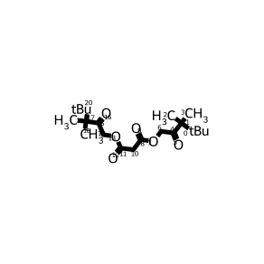 CC(C)(C)C(C)(C)C(=O)COC(=O)CC(=O)OCC(=O)C(C)(C)C(C)(C)C